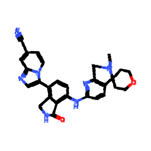 CN1Cc2nc(Nc3ccc(-c4cnc5cc(C#N)ccn45)c4c3C(=O)NC4)ccc2C12CCOCC2